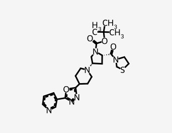 CC(C)(C)OC(=O)N1C[C@@H](N2CCC(c3nnc(-c4cccnc4)o3)CC2)C[C@H]1C(=O)N1CCSC1